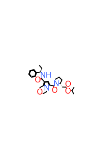 CC[C@@H](NC(=O)c1cc(C(=O)N2CCC[C@@H]2CC(=O)OC(C)C)n2c1COCC2)c1ccccc1